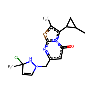 CC1CC1c1c(C(F)(F)F)sc2nc(CN3C=CC(Cl)(C(F)(F)F)N3)cc(=O)n12